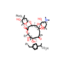 CC(C)Cc1ccc(C(C)C(=O)O)cc1.CC[C@H]1OC(=O)[C@H](C)[C@@H](O[C@H]2C[C@@](C)(OC)[C@@H](O)[C@H](C)O2)[C@H](C)[C@@H](O[C@@H]2O[C@H](C)C[C@H](N(C)C)[C@H]2O)[C@](C)(O)C[C@@H](C)C(=O)[C@H](C)[C@@H](O)[C@]1(C)O